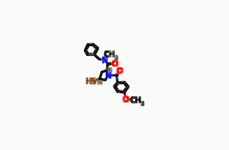 COc1ccc(C(=O)N2C[C@@H](S)C[C@H]2C(=O)N(C)Cc2ccccc2)cc1